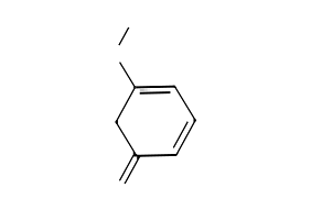 COC1=C[C]=CC(=S)C1